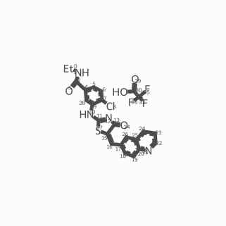 CCNC(=O)c1ccc(Cl)c(NC2=NC(=O)C(=Cc3ccc4ncccc4c3)S2)c1.O=C(O)C(F)(F)F